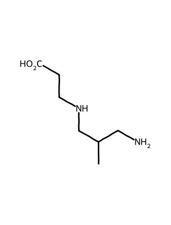 CC(CN)CNCCC(=O)O